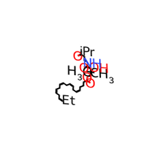 CC/C=C\C/C=C\C/C=C\C/C=C\C/C=C\CCCC(=O)OCC(C)(C)[C@@H](O)C(=O)NCCC(=O)C(C)C